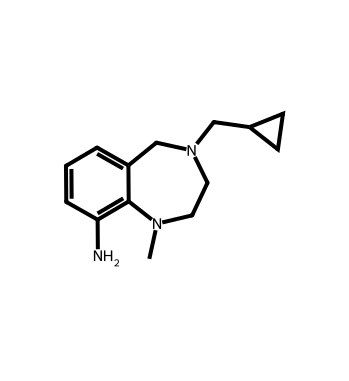 CN1CCN(CC2CC2)Cc2cccc(N)c21